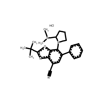 CN(C)C1CCCN1c1c(-c2ccccc2)cc(C#N)c2nc(C(C)(C)C)oc12.Cl